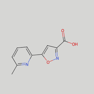 Cc1cccc(-c2cc(C(=O)O)no2)n1